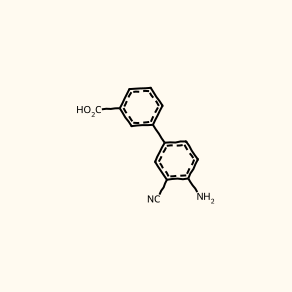 N#Cc1cc(-c2cccc(C(=O)O)c2)ccc1N